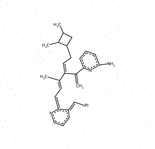 C=C(C(=C\CC1CC(C)C1C)/C(C)=C/C=c1/nccc/c1=C\CCC)c1cccc(N)n1